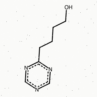 OCCCCc1ncncn1